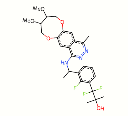 COC1COc2cc3c(C)nnc(NC(C)c4cccc(C(F)(F)C(C)(C)O)c4F)c3cc2OCC1OC